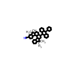 CC1(C)c2cc(C#N)ccc2-c2c1ccc1c(-c3c4ccccc4c(-c4ccccc4)c4ccccc34)cc3c(c21)-c1ccccc1C3(C)C